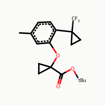 Cc1ccc(C2(C(F)(F)F)CC2)c(OC2(C(=O)OC(C)(C)C)CC2)c1